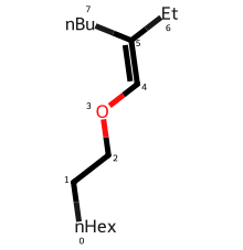 CCCCCCCCOC=C(CC)CCCC